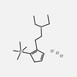 CCN(CC)CCC1=[C]([Ti+3]([CH3])([CH3])([CH3])[CH3])CC=C1.[Cl-].[Cl-].[Cl-]